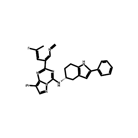 C=N/C=C(\C=C(/C)F)c1nc(N[C@@H]2CCc3[nH]c(-c4ccccc4)cc3C2)n2ncc(C(C)C)c2n1